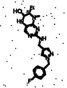 CC[C@@H]1C(O)Nc2cnc(NCc3cnn(Cc4ccc(F)cc4)c3)nc2N1C